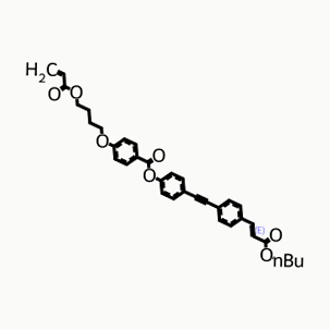 C=CC(=O)OCCCCOc1ccc(C(=O)Oc2ccc(C#Cc3ccc(/C=C/C(=O)OCCCC)cc3)cc2)cc1